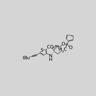 CC(C)(C)C#Cc1cc(N[C@H]2CC[C@H](OP(C)(=O)c3ccccc3)CC2)c(C(=O)O)s1